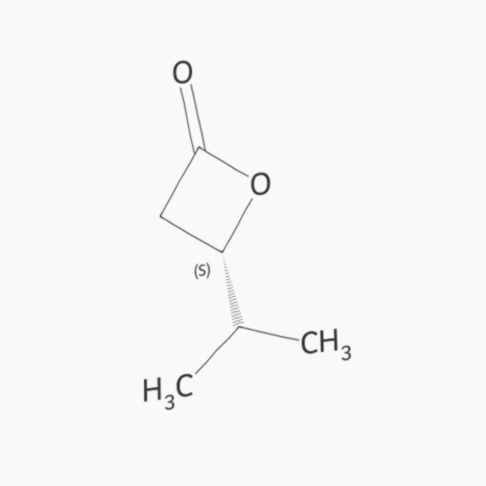 CC(C)[C@@H]1CC(=O)O1